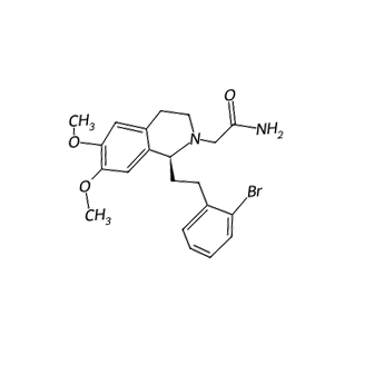 COc1cc2c(cc1OC)[C@H](CCc1ccccc1Br)N(CC(N)=O)CC2